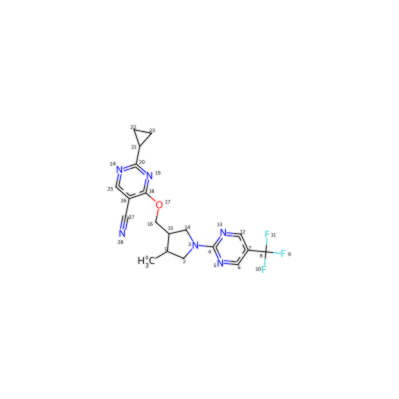 CC1CN(c2ncc(C(F)(F)F)cn2)CC1COc1nc(C2CC2)ncc1C#N